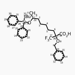 C[C@@H](CCCCC[C@@](OCc1ccccc1)(C(=O)O)C(F)(F)F)O[Si](c1ccccc1)(c1ccccc1)C(C)(C)C